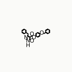 O=C(Oc1ccc(OCc2ccccc2)cc1)c1c(Cc2ccccc2)nc[nH]c1=O